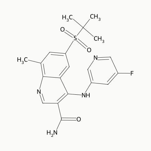 Cc1cc(S(=O)(=O)C(C)(C)C)cc2c(Nc3cncc(F)c3)c(C(N)=O)cnc12